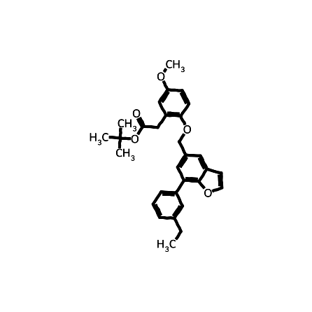 CCc1cccc(-c2cc(COc3ccc(OC)cc3CC(=O)OC(C)(C)C)cc3ccoc23)c1